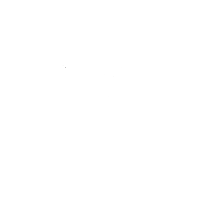 N#Cc1ccc(C(=O)C2CC=C(c3ccccc3)CC2)cc1